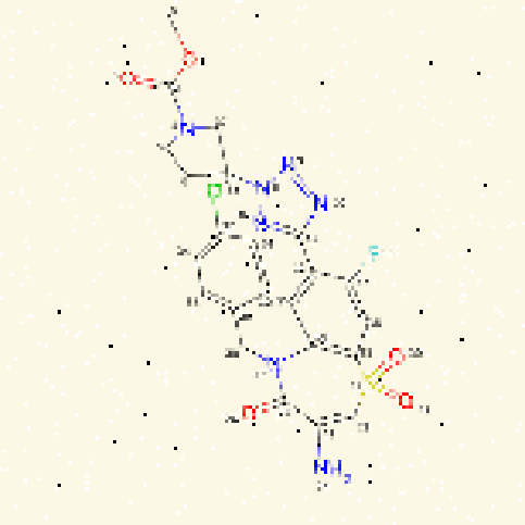 COC(=O)N1CCC(n2nnc(-c3cc4c(cc3F)S(=O)(=O)C=C(N)C(=O)N4Cc3ccc(Cl)cc3)n2)C1